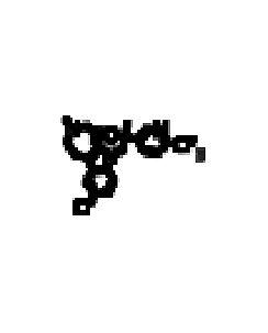 CN1CCc2c(n(CC(C)(O)c3ccc(C(F)(F)F)nc3)c3ccc(Cl)cc23)CC1